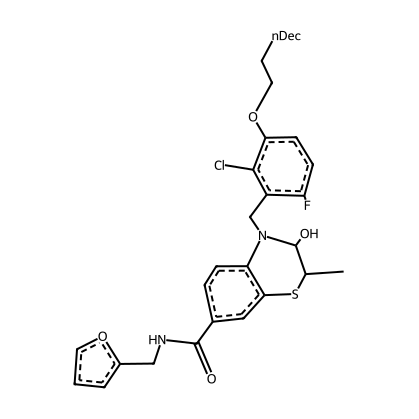 CCCCCCCCCCCCOc1ccc(F)c(CN2c3ccc(C(=O)NCc4ccco4)cc3SC(C)C2O)c1Cl